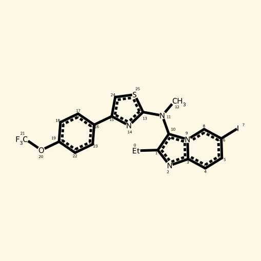 CCc1nc2ccc(I)cn2c1N(C)c1nc(-c2ccc(OC(F)(F)F)cc2)cs1